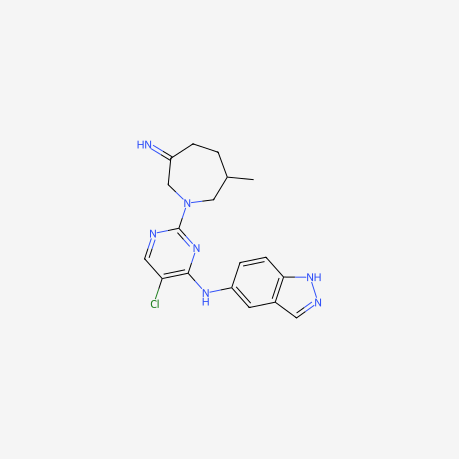 CC1CCC(=N)CN(c2ncc(Cl)c(Nc3ccc4[nH]ncc4c3)n2)C1